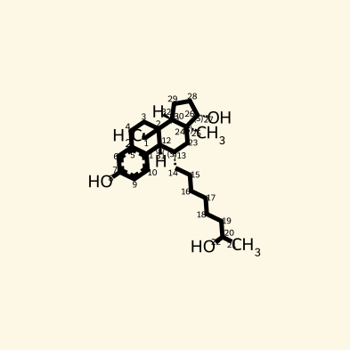 C=CC12CCc3cc(O)ccc3[C@H]1[C@@H](CCCCCCC(C)O)C[C@]1(C)[C@@H](O)CC[C@@H]21